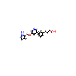 OCCCc1cccc(-c2cncc(OC[C@@H]3CCCN3)c2)c1